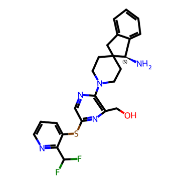 N[C@@H]1c2ccccc2CC12CCN(c1ncc(Sc3cccnc3C(F)F)nc1CO)CC2